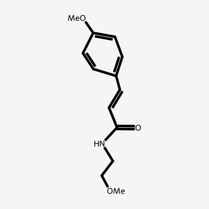 COCCNC(=O)/C=C/c1ccc(OC)cc1